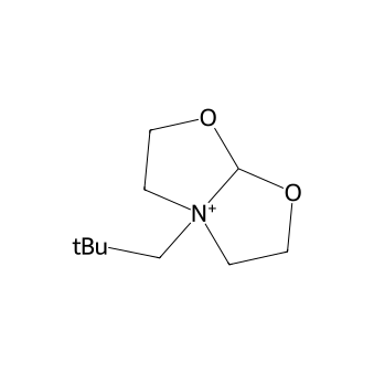 CC(C)(C)C[N+]12CCOC1OCC2